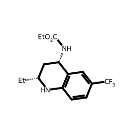 CCOC(=O)N[C@H]1C[C@@H](CC)Nc2ccc(C(F)(F)F)cc21